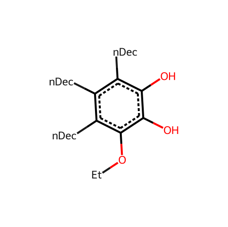 CCCCCCCCCCc1c(O)c(O)c(OCC)c(CCCCCCCCCC)c1CCCCCCCCCC